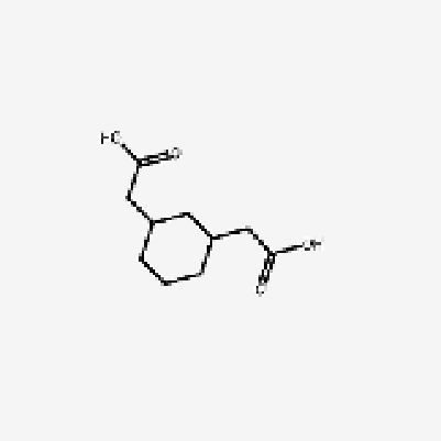 O=C(O)CC1CCCC(CC(=O)O)C1